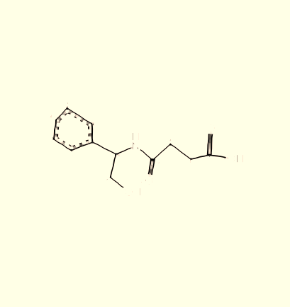 O=C(O)CCC(=O)NC(CO)c1ccccc1